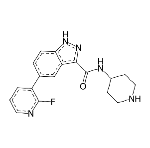 O=C(NC1CCNCC1)c1n[nH]c2ccc(-c3cccnc3F)cc12